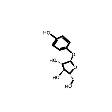 OC[C@H]1O[C@H](Oc2ccc(O)cc2)[C@@H](O)[C@@H]1O